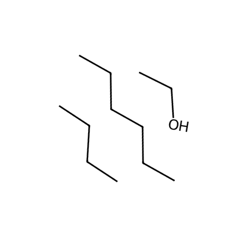 CCCC.CCCCCC.CCO